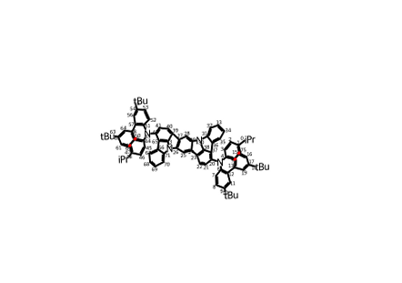 CC(C)c1ccc(N(c2ccc(C(C)(C)C)cc2-c2cccc(C(C)(C)C)c2)c2ccc3c4cc5c(cc4n4c6ccccc6c2c34)c2ccc(N(c3ccc(C(C)C)cc3)c3ccc(C(C)(C)C)cc3-c3cccc(C(C)(C)C)c3)c3c4ccccc4n5c23)cc1